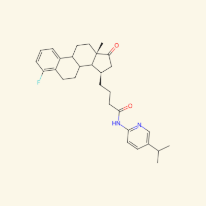 CC(C)c1ccc(NC(=O)CCC[C@@H]2CC(=O)[C@@]3(C)CCC4c5cccc(F)c5CCC4C23)nc1